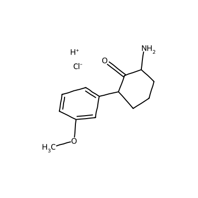 COc1cccc(C2CCCC(N)C2=O)c1.[Cl-].[H+]